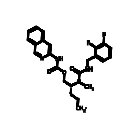 [CH2]CC[C@H](COC(=O)Nc1cc2ccccc2cn1)N(C)C(=O)NCc1cccc(F)c1F